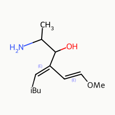 CCC(C)/C=C(\C=C\OC)C(O)C(C)N